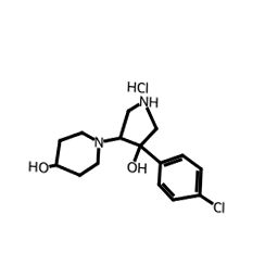 Cl.OC1CCN(C2CNCC2(O)c2ccc(Cl)cc2)CC1